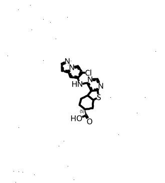 O=C(O)[C@H]1CCC2c3c(Nc4cc5ccnn5cc4Cl)ncnc3SC2C1